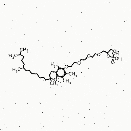 Cc1c(C)c2c(c(C)c1OCCOCCOCCOCC(CO)OP(=O)(O)O)CCC(C)(CCCCCCCC(C)CCCC(C)C)O2